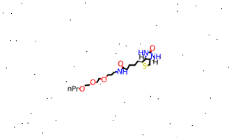 CCCOCCOCCOCCCNC(=O)CCCC[C@@H]1SC[C@@H]2NC(=O)N[C@@H]21